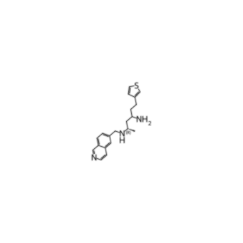 C[C@H](CC(N)CCc1ccsc1)NCc1ccc2cnccc2c1